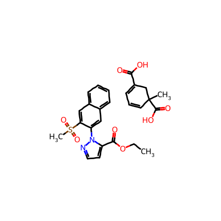 CC1(C(=O)O)C=CC=C(C(=O)O)C1.CCOC(=O)c1ccnn1-c1cc2ccccc2cc1S(C)(=O)=O